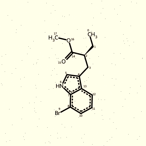 CC[C@@H](Cc1c[nH]c2c(Br)cccc12)C(=O)OC